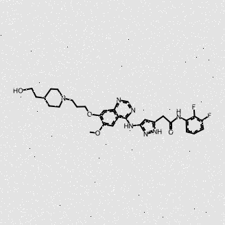 COc1cc2c(Nc3cc(CC(=O)Nc4cccc(F)c4F)[nH]n3)ncnc2cc1OCCCN1CCC(CCO)CC1